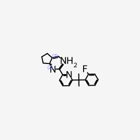 C=C(/N=C1/CCC/C1=C/N)c1cccc(C(C)(C)c2ccccc2F)n1